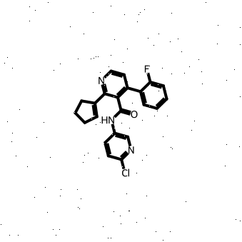 O=C(Nc1ccc(Cl)nc1)c1c(-c2ccccc2F)ccnc1C1=CCCC1